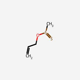 C=CCOS(C)=S